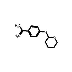 C=C(C)c1ccc(OC2CCCCO2)cc1